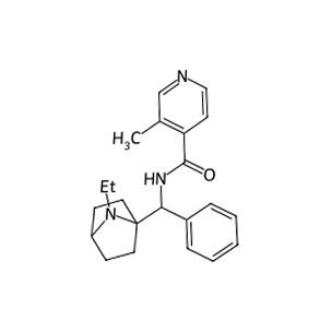 CCN1C2CCC1(C(NC(=O)c1ccncc1C)c1ccccc1)CC2